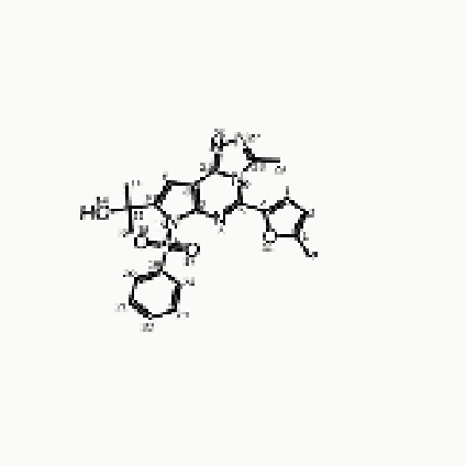 Cc1ccc(-c2nc3c(cc(C(C)(C)O)n3S(=O)(=O)c3ccccc3)c3nnc(C)n23)o1